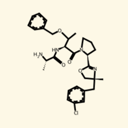 CC(OCc1ccccc1)[C@H](NC(=O)[C@H](C)N)C(=O)N1CCC[C@H]1C1=N[C@](C)(Cc2cccc(Cl)c2)CO1